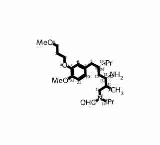 COCCCOc1cc(C[C@@H](C[C@H](N)C(C)CN(C=O)C(C)C)C(C)C)ccc1OC